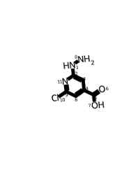 NNc1cc(C(=O)O)cc(Cl)n1